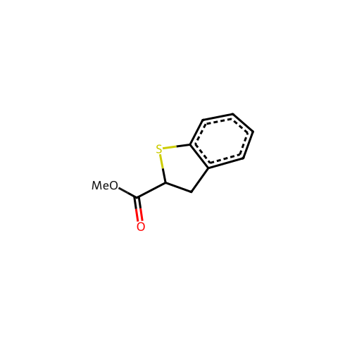 COC(=O)C1Cc2ccccc2S1